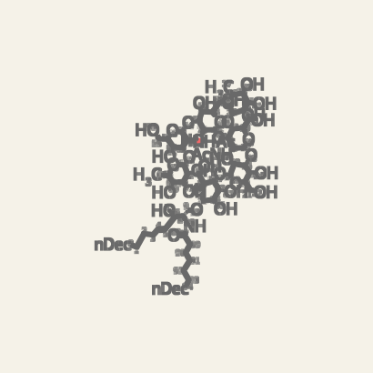 CCCCCCCCCCCCC/C=C/[C@@H](O)[C@H](CO[C@@H]1OC(CO)[C@@H](O[C@@H]2OC(CO)[C@H](O)[C@H](O[C@@H]3OC(CO)[C@@H](O[C@H]4OC(C)[C@@H](O)C(O)[C@@H]4O)[C@H](O[C@@H]4OC(CO)[C@H](O)[C@H](O[C@@H]5OC(CO)[C@@H](O)[C@H](O[C@H]6OC(C)[C@@H](O)C(O)[C@@H]6O)C5NC(C)=O)C4O)C3NC(C)=O)C2O)[C@H](O)C1O)NC(=O)CCCCCCCCCCCCCCC